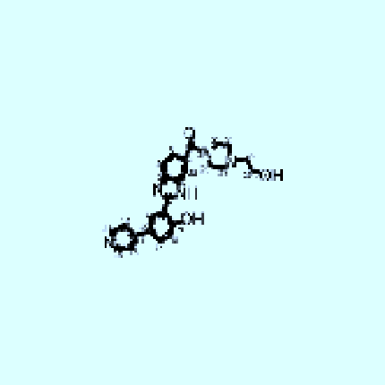 O=C(c1ccc2nc(-c3cc(-c4ccncc4)ccc3O)[nH]c2c1)N1CCN(CCO)CC1